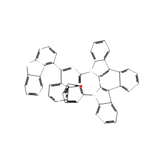 c1ccc(-n2c3ccccc3c3c4ccccc4c4c5ccccc5n(-c5nc(-c6cccc7oc8ccccc8c67)c6ccccc6n5)c4c32)cc1